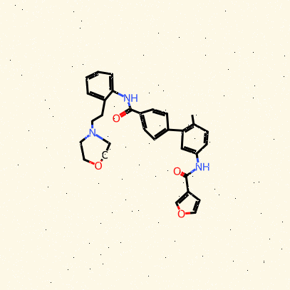 Cc1ccc(NC(=O)c2ccoc2)cc1-c1ccc(C(=O)Nc2ccccc2CCN2CCOCC2)cc1